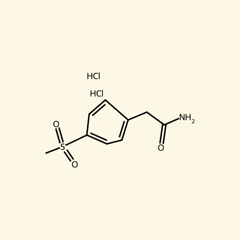 CS(=O)(=O)c1ccc(CC(N)=O)cc1.Cl.Cl